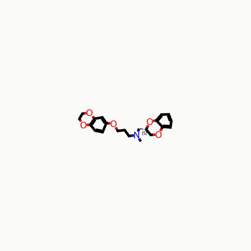 CN(CCCOc1ccc2c(c1)OCCO2)C[C@H]1COc2ccccc2O1